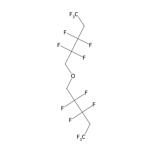 FC(F)(F)CC(F)(F)C(F)(F)COCC(F)(F)C(F)(F)CC(F)(F)F